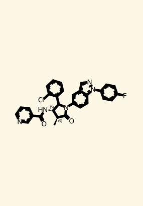 C[C@@H]1C(=O)N(c2ccc3c(cnn3-c3ccc(F)cc3)c2)C(c2ccccc2Cl)[C@H]1NC(=O)c1cccnc1